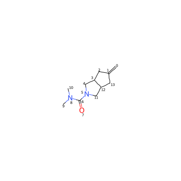 C=C1CC2CN(C(=O)N(C)C)CC2C1